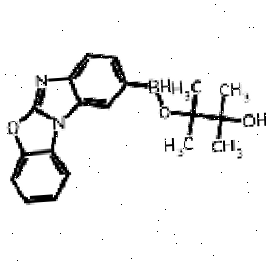 CC(C)(O)C(C)(C)OBc1ccc2nc3oc4ccccc4n3c2c1